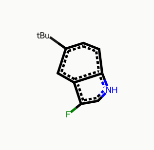 CC(C)(C)c1ccc2[nH]cc(F)c2c1